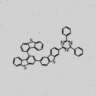 c1ccc(-c2nc(-c3ccccc3)nc(-c3ccc4c(c3)sc3ccc(-c5cc(-c6cccc7sc8ccccc8c67)c6c(c5)sc5ccccc56)cc34)n2)cc1